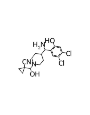 N#CC1(C(O)N2CCC(C(N)c3cc(Cl)c(Cl)cc3O)CC2)CC1